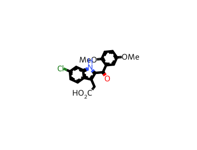 COc1ccc(OC)c(C(=O)c2[nH]c3cc(Cl)ccc3c2CC(=O)O)c1